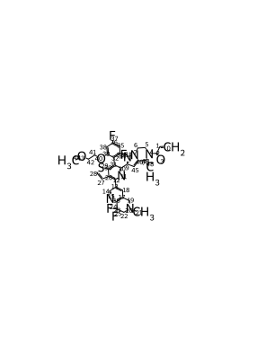 C=CC(=O)N1CCn2nc(-c3nc(-c4cnc5c(c4)CN(C)CC5(F)F)c4ccsc4c3-c3c(F)cc(F)cc3OCCOC)cc2[C@H]1C